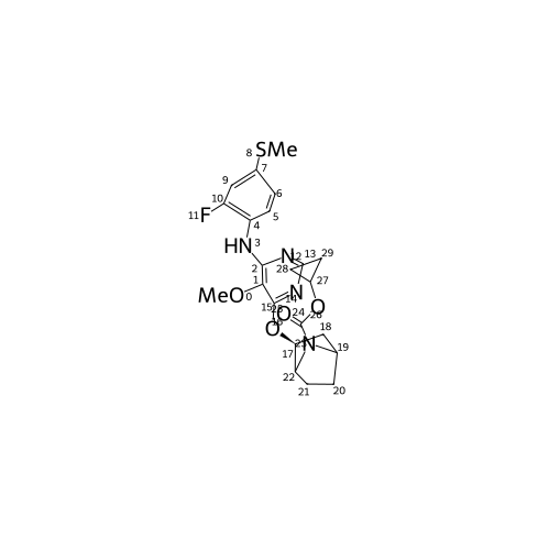 COc1c(Nc2ccc(SC)cc2F)ncnc1O[C@H]1CC2CCC1N2C(=O)OC1CC1